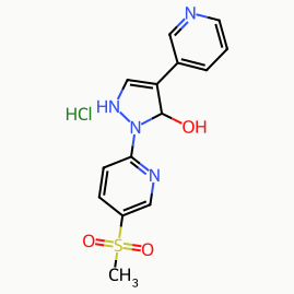 CS(=O)(=O)c1ccc(N2NC=C(c3cccnc3)C2O)nc1.Cl